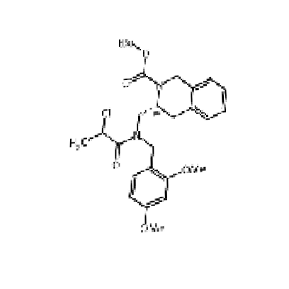 COc1ccc(CN(C[C@H]2Cc3ccccc3CN2C(=O)OC(C)(C)C)C(=O)C(C)Cl)c(OC)c1